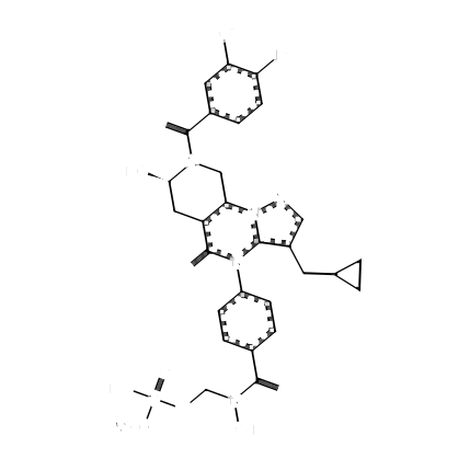 COP(=O)(O)OCN(C)C(=O)c1ccc(-n2c(=O)c3c(n4ncc(CC5CC5)c24)CN(C(=O)c2ccc(Br)c(C(F)(F)F)c2)[C@H](C)C3)cc1